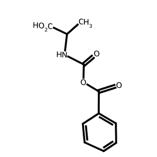 CC(NC(=O)OC(=O)c1ccccc1)C(=O)O